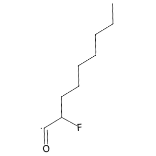 CCCCCCCC(F)[C]=O